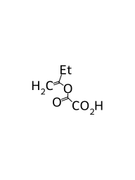 C=C(CC)OC(=O)C(=O)O